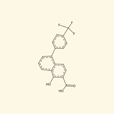 O=C(O)c1ccc2c(-c3ccc(C(F)(F)F)cc3)cccc2c1O